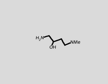 CNCCC(O)CN